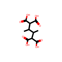 CC(C(C(=O)O)C(=O)O)C(C)C(C(=O)O)C(=O)O